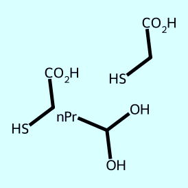 CCCC(O)O.O=C(O)CS.O=C(O)CS